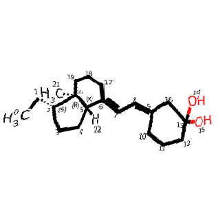 CC[C@H]1CC[C@H]2C(=CC=C3CCCC(O)(O)C3)CCC[C@]12C